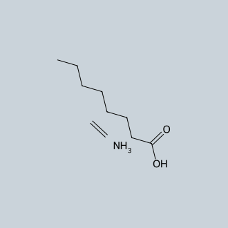 C=C.CCCCCCCC(=O)O.N